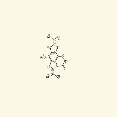 C=CC(=C)Oc1c2c(c(OC(C)=O)c3c1SC(=C(C#N)C#N)S3)SC(=C(C#N)C#N)S2